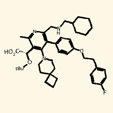 Cc1nc(CNCC2CCCCC2)c(-c2ccc(OCCc3ccc(F)cc3)cc2)c(N2CCC3(CCC3)CC2)c1[C@H](OC(C)(C)C)C(=O)O